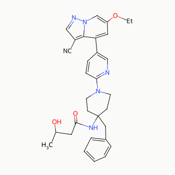 CCOc1cc(-c2ccc(N3CCC(Cc4ccccc4)(NC(=O)CC(C)O)CC3)nc2)c2c(C#N)cnn2c1